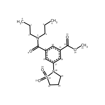 CCCN(CCC)C(=O)c1cc(C(=O)OC)cc(N2CCCS2(=O)=O)c1